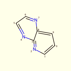 c1cnc2nccnc2c1